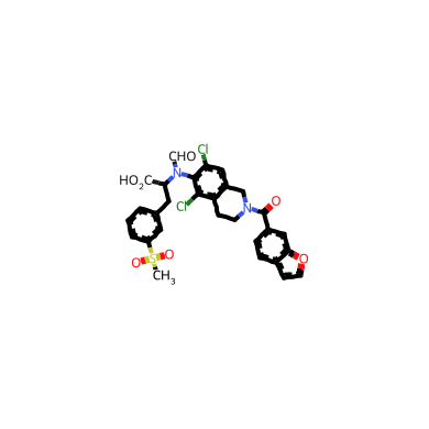 CS(=O)(=O)c1cccc(CC(C(=O)O)N(C=O)c2c(Cl)cc3c(c2Cl)CCN(C(=O)c2ccc4ccoc4c2)C3)c1